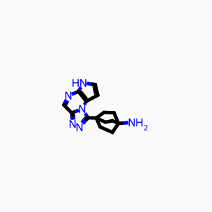 NC12CCC(c3nnc4cnc5[nH]ccc5n34)(CC1)CC2